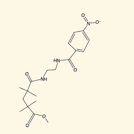 COC(=O)C(C)(C)CC(C)(C)C(=O)NCCNC(=O)c1ccc([N+](=O)[O-])cc1